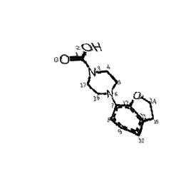 O=C(O)N1CCN(c2cccc3c2OCC3)CC1